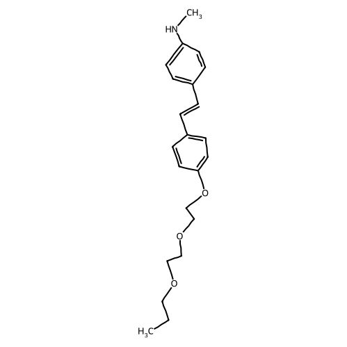 CCCOCCOCCOc1ccc(/C=C/c2ccc(NC)cc2)cc1